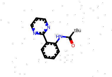 CC(C)(C)C(=O)Nc1ccccc1-c1ncccn1